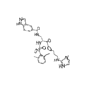 Cc1cccc(C)c1S(=O)(=O)NC(CNC(=O)c1ccc2[nH]ncc2c1)C(=O)OCCCNc1ncc[nH]1